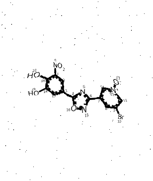 O=[N+]([O-])c1cc(-c2nc(-c3cc(Br)c[n+]([O-])c3)no2)cc(O)c1O